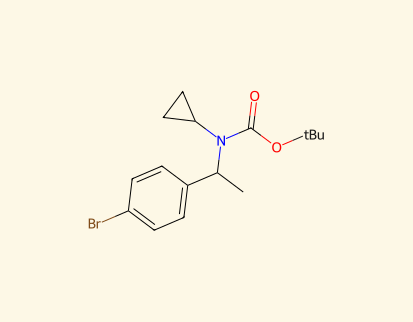 CC(c1ccc(Br)cc1)N(C(=O)OC(C)(C)C)C1CC1